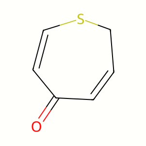 O=C1C=CCSC=C1